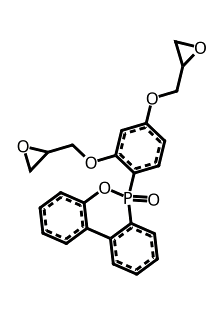 O=P1(c2ccc(OCC3CO3)cc2OCC2CO2)Oc2ccccc2-c2ccccc21